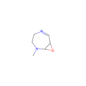 CN1CCN=CC2OC21